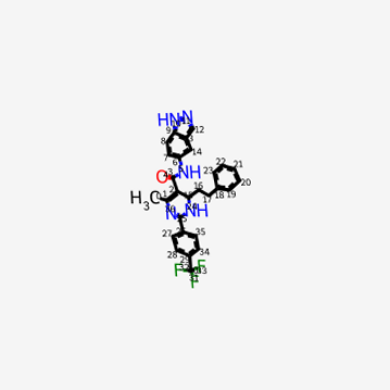 CC1=C(C(=O)Nc2ccc3[nH]ncc3c2)C(CCc2ccccc2)NC(c2ccc(C(F)(F)F)cc2)=N1